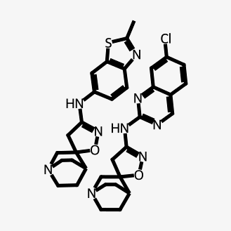 Cc1nc2ccc(NC3=NOC4(C3)CN3CCC4CC3)cc2s1.Clc1ccc2cnc(NC3=NOC4(C3)CN3CCC4CC3)nc2c1